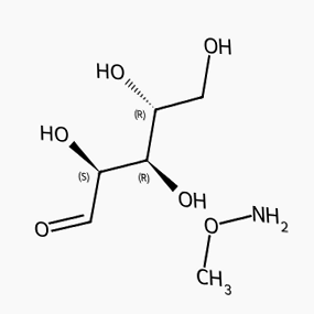 CON.O=C[C@@H](O)[C@H](O)[C@H](O)CO